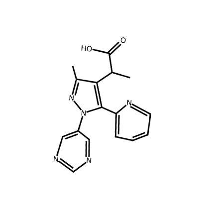 Cc1nn(-c2cncnc2)c(-c2ccccn2)c1C(C)C(=O)O